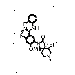 CCC1CN(C)CCC12CN(c1cc3c(Nc4ccccc4F)ncnc3cc1OC)C(=O)O2